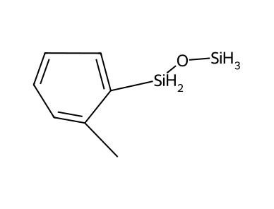 Cc1ccccc1[SiH2]O[SiH3]